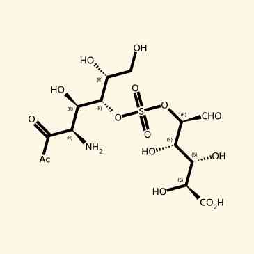 CC(=O)C(=O)[C@H](N)[C@@H](O)[C@@H](OS(=O)(=O)O[C@@H](C=O)[C@@H](O)[C@H](O)[C@H](O)C(=O)O)[C@H](O)CO